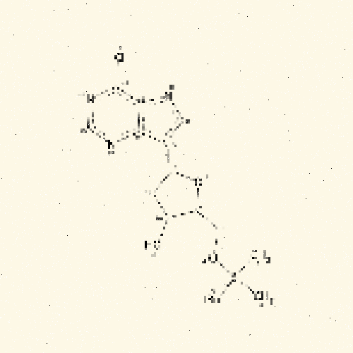 CC(C)(C)[Si](C)(C)OCC1O[C@@H](n2cnc3c(Cl)ncnc32)CC1O